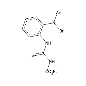 CCOC(=O)NC(=S)Nc1ccccc1N(Br)C(C)=O